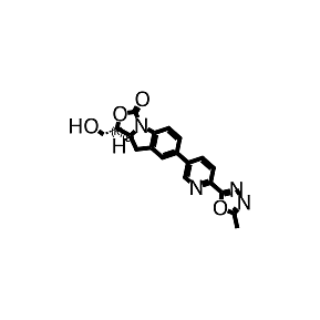 Cc1nnc(-c2ccc(-c3ccc4c(c3)C[C@H]3[C@H](CO)OC(=O)N43)cn2)o1